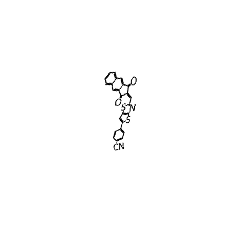 N#Cc1ccc(-c2cc3sc(C=C4C(=O)c5cc6ccccc6cc5C4=O)nc3s2)cc1